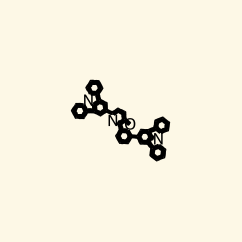 c1cc(-c2cc3c4ccccc4n4c5ccccc5c(c2)c34)c2oc3ccc(-c4cc5c6ccccc6n6c7ccccc7c(c4)c56)nc3c2c1